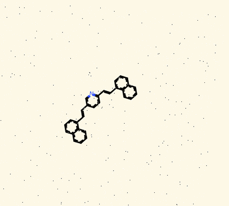 C(=Cc1cccc2ccccc12)c1ccc(C=Cc2cccc3ccccc23)nc1